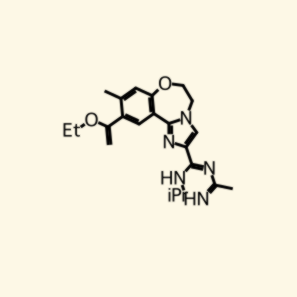 C=C(OCC)c1cc2c(cc1C)OCCn1cc(/C(=N/C(C)=N)NC(C)C)nc1-2